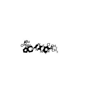 CN(C)c1nccc(Sc2ncc(N3CCC4(CCC[C@H]4N[S+]([O-])C(C)(C)C)CC3)nc2N)c1Cl